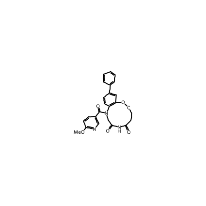 COc1ccc(C(=O)N2CC(=O)NC(=O)CCCOc3cc(-c4ccccc4)ccc32)cn1